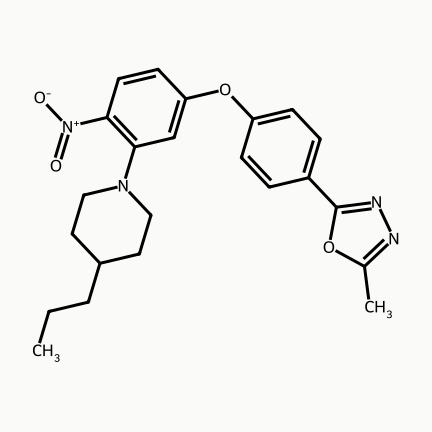 CCCC1CCN(c2cc(Oc3ccc(-c4nnc(C)o4)cc3)ccc2[N+](=O)[O-])CC1